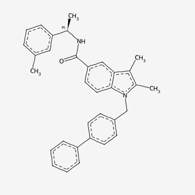 Cc1cccc([C@@H](C)NC(=O)c2ccc3c(c2)c(C)c(C)n3Cc2ccc(-c3ccccc3)cc2)c1